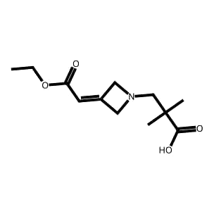 CCOC(=O)C=C1CN(CC(C)(C)C(=O)O)C1